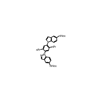 CCCCCCc1ccc2c(ccn2-c2cc(CCC)c(-n3ncc4cc(CCCCCC)ccc43)cc2CCC)c1